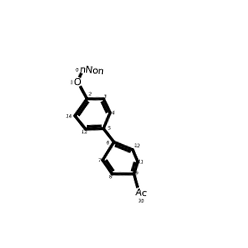 CCCCCCCCCOc1ccc(-c2ccc(C(C)=O)cc2)cc1